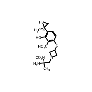 C[C@](N)(CN1CC(Oc2ccc([C@]3(C)BC3)c(O)c2C(=O)O)C1)C(=O)O